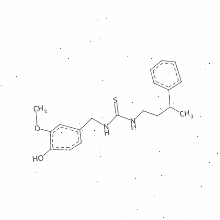 COc1cc(CNC(=S)NCCC(C)c2ccccc2)ccc1O